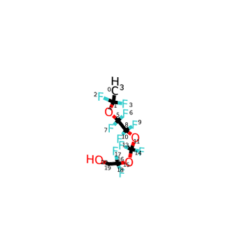 CC(F)(F)OC(F)(F)C(F)(F)OC(F)(F)OC(F)(F)CO